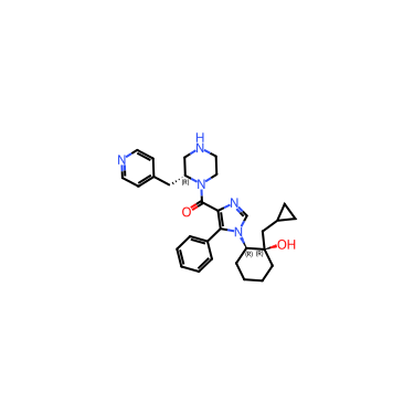 O=C(c1ncn([C@@H]2CCCC[C@@]2(O)CC2CC2)c1-c1ccccc1)N1CCNC[C@H]1Cc1ccncc1